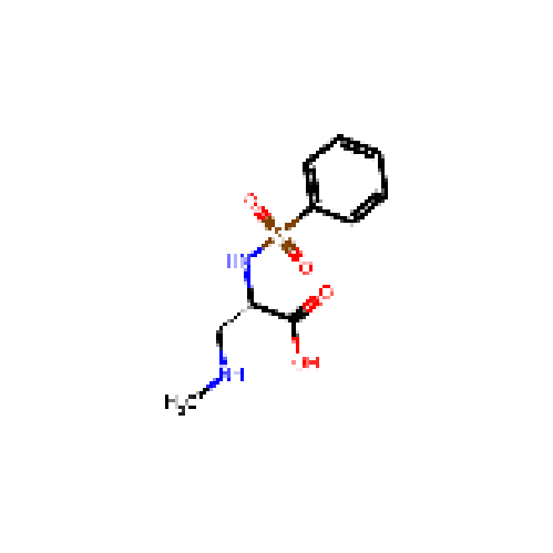 CNC[C@H](NS(=O)(=O)c1ccccc1)C(=O)O